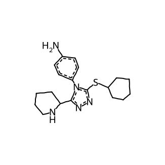 Nc1ccc(-n2c(SC3CCCCC3)nnc2C2CCCCN2)cc1